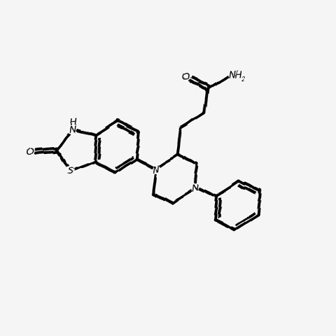 NC(=O)CCC1CN(c2ccccc2)CCN1c1ccc2[nH]c(=O)sc2c1